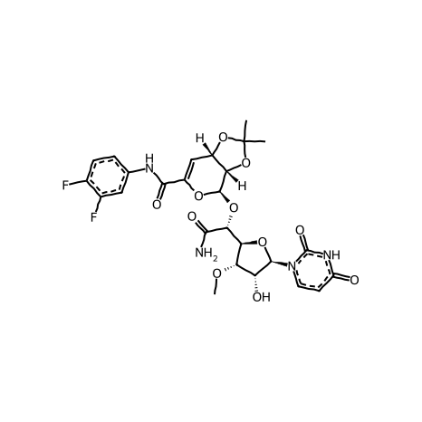 CO[C@H]1[C@@H](O)[C@H](n2ccc(=O)[nH]c2=O)O[C@@H]1[C@@H](O[C@H]1OC(C(=O)Nc2ccc(F)c(F)c2)=C[C@@H]2OC(C)(C)O[C@H]12)C(N)=O